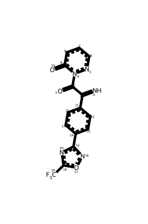 N=C(C(=O)n1ncccc1=O)c1ccc(-c2noc(C(F)(F)F)n2)cc1